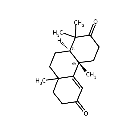 CC12CCC(=O)C=C1[C@@]1(C)CCC(=O)C(C)(C)[C@@H]1CC2